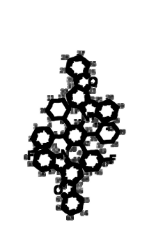 Fc1cccc(-c2c(C3CCCCC3)c(-n3c4ccccc4c4c5oc6ccccc6c5ccc43)c(C3CCCCC3)c(-c3cccc(F)c3)c2-n2c3ccccc3c3c4oc5ccccc5c4ccc32)c1